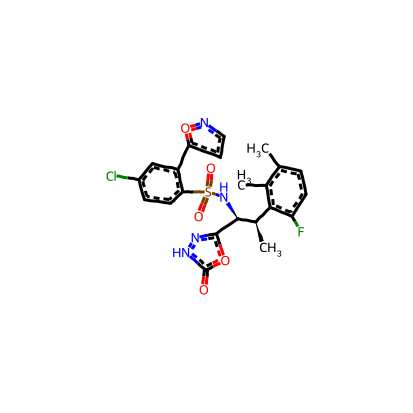 Cc1ccc(F)c([C@@H](C)[C@H](NS(=O)(=O)c2ccc(Cl)cc2-c2ccno2)c2n[nH]c(=O)o2)c1C